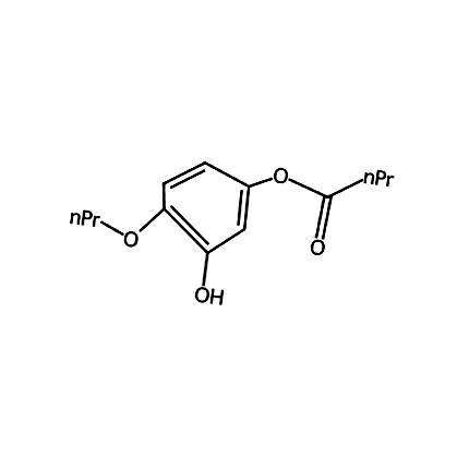 CCCOc1ccc(OC(=O)CCC)cc1O